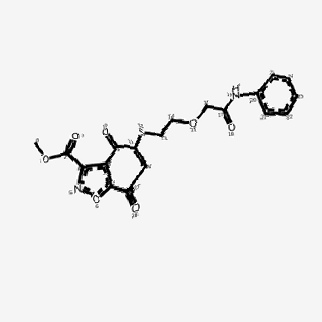 COC(=O)c1noc2c1C(=O)C(SCCOCC(=O)Nc1ccccc1)=CC2=O